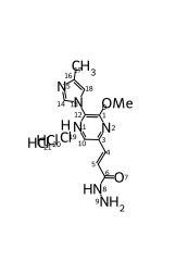 COc1nc(C=CC(=O)NN)cnc1-n1cnc(C)c1.Cl.Cl.Cl